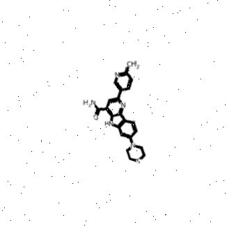 Cc1ccc(-c2cc(C(N)=O)c3[nH]c4cc(N5CCSCC5)ccc4c3n2)cn1